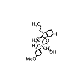 C=CCN1C(=O)[C@]2(O[C@H](CCO)[C@@H]([Si](C)(C)c3ccc(OC)cc3)[C@@H]2C)c2cc(I)ccc21